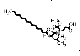 CCCCCCCCCCCCCC(=O)N[C@@H](CC(C)C)C(=O)N[C@H](CCC(=O)O)C(=O)OC